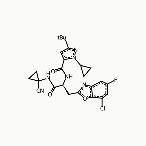 CC(C)(C)c1cc(C(=O)N[C@@H](Cc2nc3cc(F)cc(Cl)c3o2)C(=O)NC2(C#N)CC2)n(C2CC2)n1